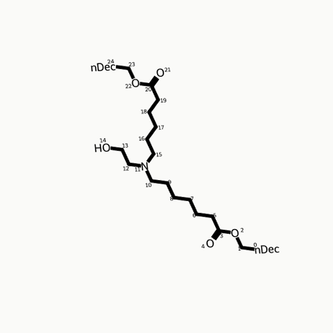 CCCCCCCCCCCOC(=O)CCCCCCN(CCO)CCCCCC(=O)OCCCCCCCCCCC